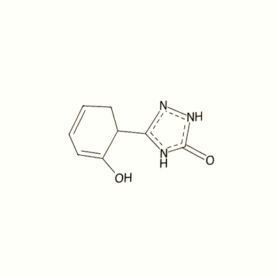 O=c1[nH]nc(C2CC=CC=C2O)[nH]1